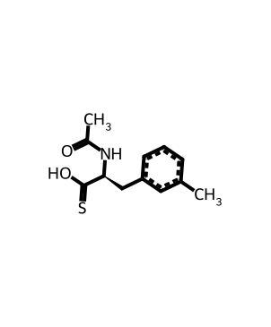 CC(=O)N[C@@H](Cc1cccc(C)c1)C(O)=S